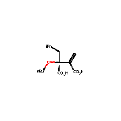 C=C(C(=O)O)[C@@](CC(C)C)(OCCCC)C(=O)O